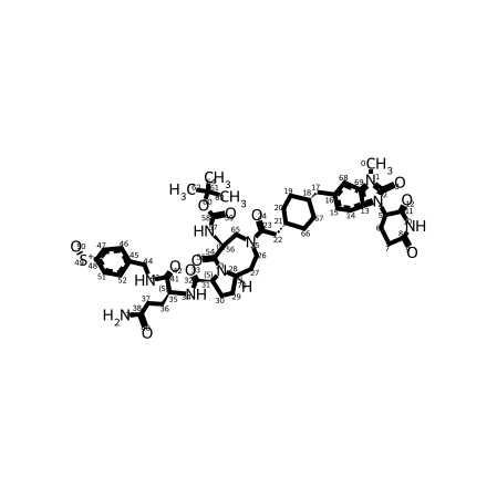 Cn1c(=O)n(C2CCC(=O)NC2=O)c2ccc(C[C@H]3CC[C@@H](CC(=O)N4CC[C@H]5CC[C@@H](C(=O)N[C@@H](CCC(N)=O)C(=O)NCc6ccc([S+]=O)cc6)N5C(=O)[C@@H](NC(=O)OC(C)(C)C)C4)CC3)cc21